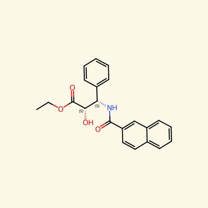 CCOC(=O)[C@@H](O)[C@@H](NC(=O)c1ccc2ccccc2c1)c1ccccc1